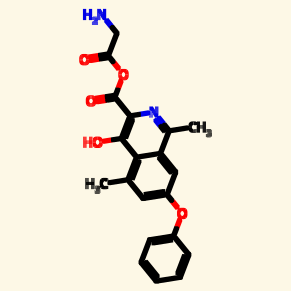 Cc1nc(C(=O)OC(=O)CN)c(O)c2c(C)cc(Oc3ccccc3)cc12